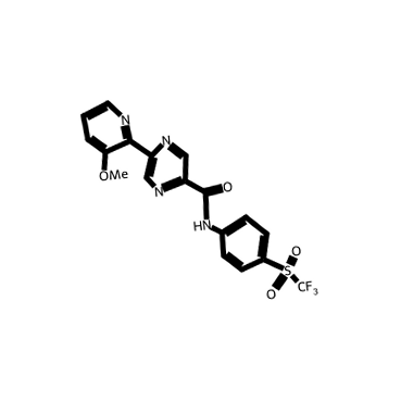 COc1cccnc1-c1cnc(C(=O)Nc2ccc(S(=O)(=O)C(F)(F)F)cc2)cn1